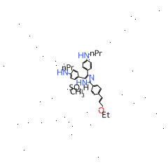 CCCNc1ccc(-c2nc(-c3ccc(C=CCOCC)cc3)[nH]c2-c2ccc(NCCC)cc2)cc1.CS(=O)(=O)O